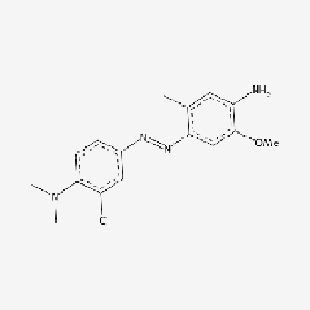 COc1cc(/N=N/c2ccc(N(C)C)c(Cl)c2)c(C)cc1N